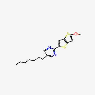 CCCCCCCc1cnc(-c2cc3sc(OC)cc3s2)nc1